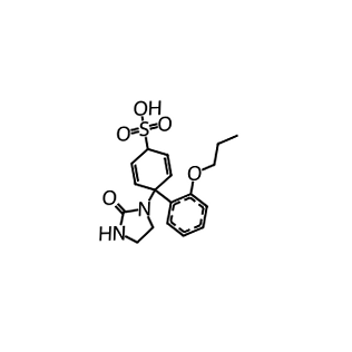 CCCOc1ccccc1C1(N2CCNC2=O)C=CC(S(=O)(=O)O)C=C1